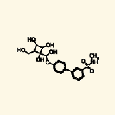 CNS(=O)(=O)c1cccc(-c2ccc(OC(O)C3(O)C(O)C(O)C3CO)cc2)c1